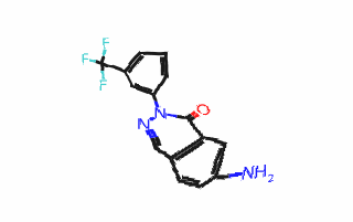 Nc1ccc2cnn(-c3cccc(C(F)(F)F)c3)c(=O)c2c1